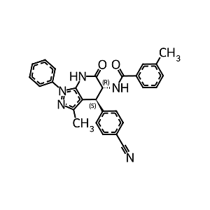 Cc1cccc(C(=O)N[C@H]2C(=O)Nc3c(c(C)nn3-c3ccccc3)[C@@H]2c2ccc(C#N)cc2)c1